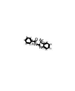 CC(=O)n1c(NC(=O)c2ccccc2)nc2ccccc21